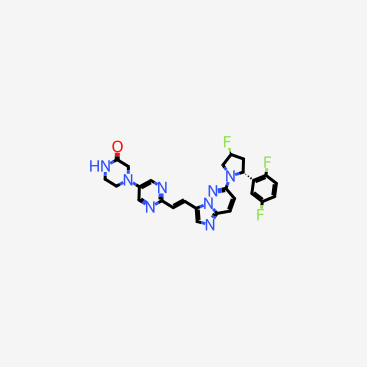 O=C1CN(c2cnc(/C=C/c3cnc4ccc(N5C[C@@H](F)C[C@@H]5c5cc(F)ccc5F)nn34)nc2)CCN1